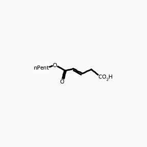 CCCCCOC(=O)C=CCC(=O)O